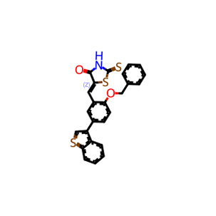 O=C1NC(=S)S/C1=C\c1cc(-c2csc3ccccc23)ccc1OCc1ccccc1